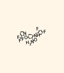 NC(=O)c1cc(Oc2ncccc2C(F)(F)F)ccc1NCc1ccc(F)cc1F